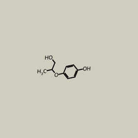 CC(CO)Oc1ccc(O)cc1